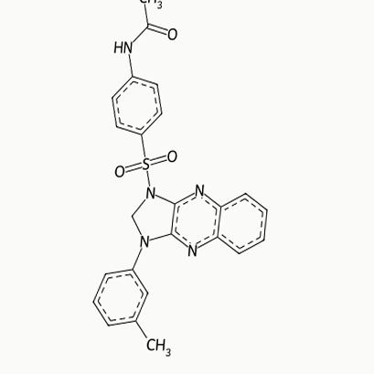 CC(=O)Nc1ccc(S(=O)(=O)N2CN(c3cccc(C)c3)c3nc4ccccc4nc32)cc1